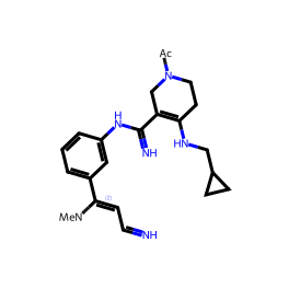 CN/C(=C\C=N)c1cccc(NC(=N)C2=C(NCC3CC3)CCN(C(C)=O)C2)c1